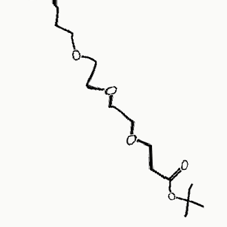 CC(C)(C)OC(=O)CCOCCOCCOCCCN